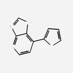 C1=[N+]c2nccc(-c3cccs3)c2N1